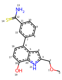 COCc1cc2c(-c3cccc(C(N)=S)c3)ccc(O)c2[nH]1